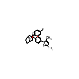 Cc1cc(C)n(-c2ccc(C(=O)N3C4CCC3CC(c3ccc(F)cc3)C4)cc2)n1